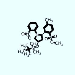 COS(=O)(=O)c1ccc(C)cc1[C@@H]1C[C@@H](O[Si](C)(C)C(C)(C)C)CN1c1ccccc1[N+](=O)[O-]